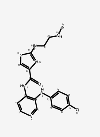 O=C(Nc1ccncc1Nc1ccc(Cl)cc1)c1csc(NCCNBr)n1